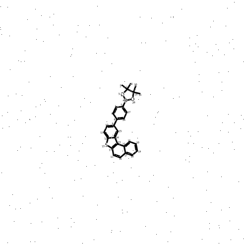 CC1(C)OB(c2ccc(-c3ccc4sc5ccc6ccccc6c5c4c3)cc2)OC1(C)C